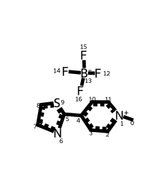 C[n+]1ccc(-c2nccs2)cc1.F[B-](F)(F)F